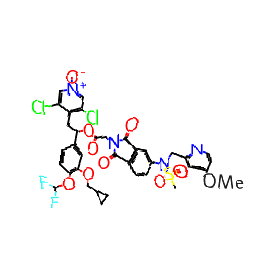 COc1ccnc(CN(c2ccc3c(c2)C(=O)N(CC(=O)OC(Cc2c(Cl)c[n+]([O-])cc2Cl)c2ccc(OC(F)F)c(OCC4CC4)c2)C3=O)S(C)(=O)=O)c1